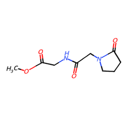 COC(=O)CNC(=O)CN1CCCC1=O